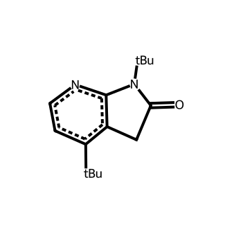 CC(C)(C)c1ccnc2c1CC(=O)N2C(C)(C)C